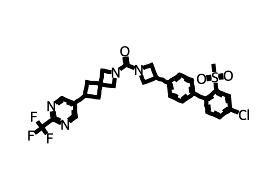 CS(=O)(=O)c1cc(Cl)ccc1-c1ccc(C2CN(C(=O)N3CC4(CC(c5cnc(C(F)(F)F)nc5)C4)C3)C2)cc1